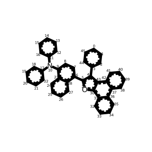 c1ccc(-c2c(-c3ccc(N(c4ccccc4)c4ccccc4)c4ccccc34)oc3c4ccccc4c4ccccc4c23)cc1